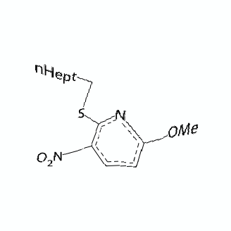 CCCCCCCCSc1nc(OC)ccc1[N+](=O)[O-]